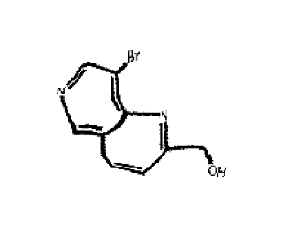 OCc1ccc2cncc(Br)c2n1